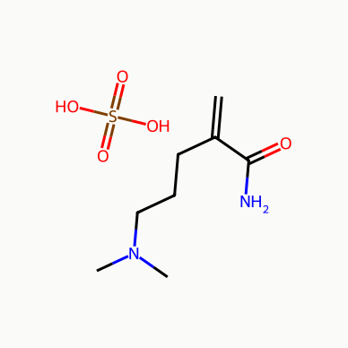 C=C(CCCN(C)C)C(N)=O.O=S(=O)(O)O